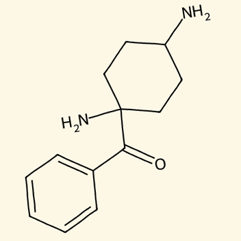 NC1CCC(N)(C(=O)c2ccccc2)CC1